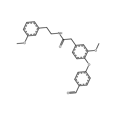 COc1cccc(CCNC(=O)Cc2ccc(Oc3ccc(C=O)cc3)c(OC)c2)c1